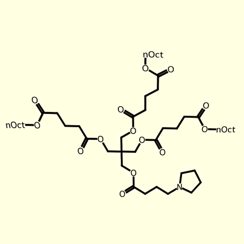 CCCCCCCCOC(=O)CCCC(=O)OCC(COC(=O)CCCC(=O)OCCCCCCCC)(COC(=O)CCCC(=O)OCCCCCCCC)COC(=O)CCCN1CCCC1